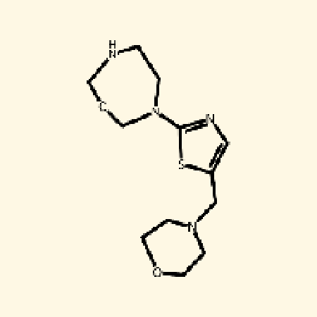 c1nc(N2CCCNCC2)sc1CN1CCOCC1